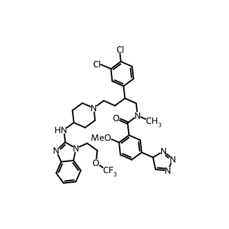 COc1ccc(C2C=NN=N2)cc1C(=O)N(C)CC(CCN1CCC(Nc2nc3ccccc3n2CCOC(F)(F)F)CC1)c1ccc(Cl)c(Cl)c1